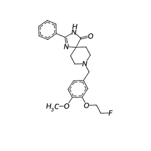 COc1ccc(CN2CCC3(CC2)N=C(c2ccccc2)NC3=O)cc1OCCF